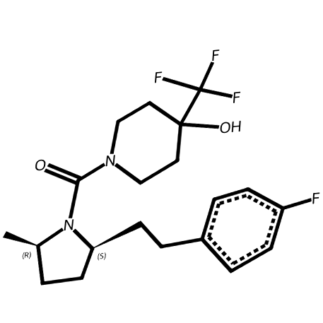 C[C@@H]1CC[C@H](CCc2ccc(F)cc2)N1C(=O)N1CCC(O)(C(F)(F)F)CC1